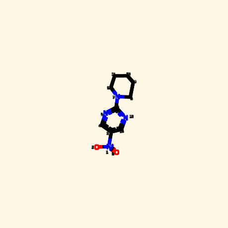 O=[N+]([O-])c1cnc(N2CCCCC2)nc1